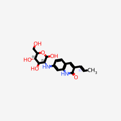 C/C=C/c1cc2ccc(N[C@@H]3C(O)OC(CO)[C@@H](O)C3O)cc2[nH]c1=O